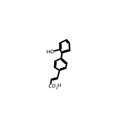 O=C(O)C=Cc1ccc(-c2ccccc2O)cc1